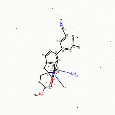 COC1CCC2(CC1)Cc1ccc(-c3cc(C)cc(C#N)c3)cc1C21N=C(N)N(C)C1=O